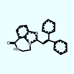 O=C1NCCn2c(C=C(c3ccccc3)c3ccccc3)nc3cccc1c32